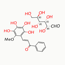 COc1c(O)c(O)c(O)c(O)c1C=CC(=O)c1ccccc1.O=C[C@H](O)[C@@H](O)[C@H](O)[C@H](O)CO